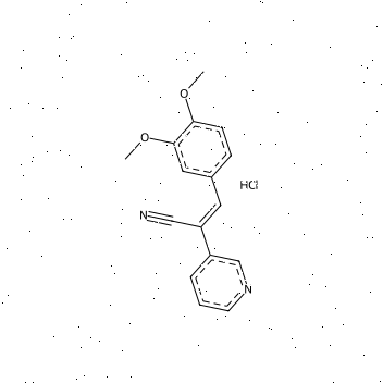 COc1ccc(C=C(C#N)c2cccnc2)cc1OC.Cl